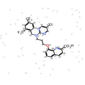 CCc1cnc(N(CCCOc2cccc3ccc(C(=O)O)nc23)Cc2ccc(C(F)(F)F)cc2C(F)(F)F)nc1